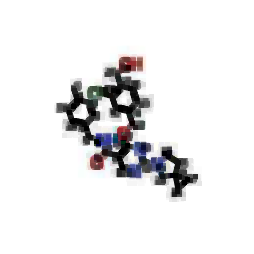 Cc1ccc(CNC(=O)c2cnc(N3CCC4(CC4)C3)nc2OCc2ccc(CO)c(Cl)c2)cc1